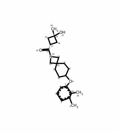 Cc1cccc(OC2CCC3(CC2)CN(C(=O)[C@H]2C[C@@](C)(O)C2)C3)c1C